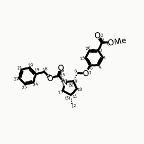 COC(=O)c1ccc(OC[C@@H]2C[C@H](C)CN2C(=O)OCc2ccccc2)cc1